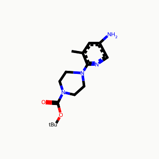 Cc1cc(N)cnc1N1CCN(C(=O)OC(C)(C)C)CC1